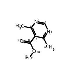 Cc1ncnc(C)c1C(=O)OC(C)C